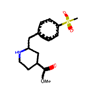 COC(=O)C1CCNC(Cc2ccc(S(C)(=O)=O)cc2)C1